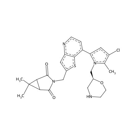 Cc1c(Cl)cc(-c2ccnc3cc(CN4C(=O)C5C(C4=O)C5(C)C)sc23)n1C[C@@H]1CNCCO1